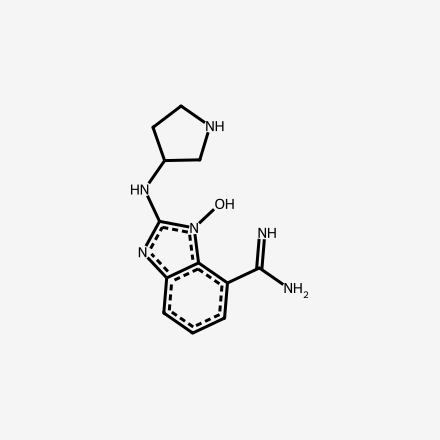 N=C(N)c1cccc2nc(NC3CCNC3)n(O)c12